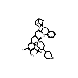 C[N+]1(C(=O)C(CC(=O)N2CCC3CC2(N2CNc4ccccc4C2)O3)Cc2cc(Cl)c(N)c(C(F)(F)F)c2)CCC(C2CCNCC2)CC1